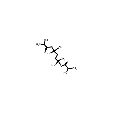 CC(O)C(=O)OC(C)(C)CCC(C)(C)OC(=O)C(C)O